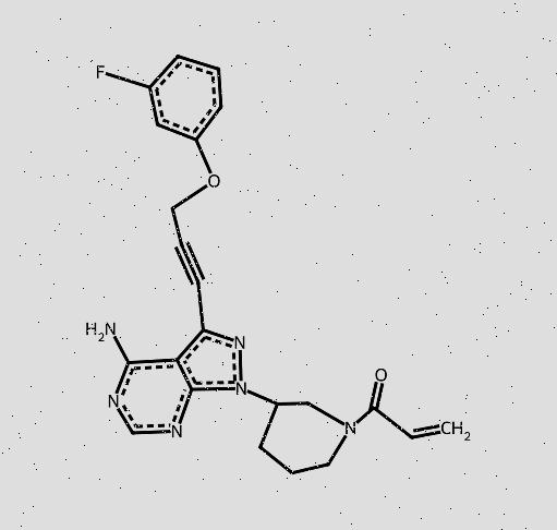 C=CC(=O)N1CCCC(n2nc(C#CCOc3cccc(F)c3)c3c(N)ncnc32)C1